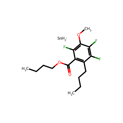 CCCCOC(=O)c1c(F)c(OC)c(F)c(F)c1CCCC.[SnH2]